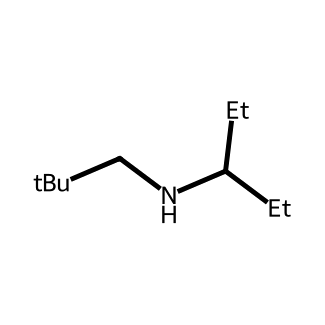 CCC(CC)NCC(C)(C)C